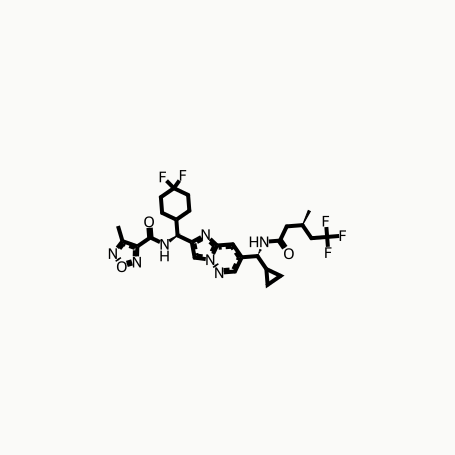 Cc1nonc1C(=O)N[C@H](c1cn2ncc([C@H](NC(=O)C[C@@H](C)CC(F)(F)F)C3CC3)cc2n1)C1CCC(F)(F)CC1